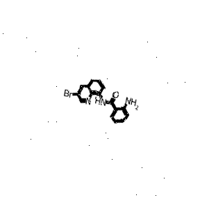 Nc1ccccc1C(=O)Nc1cccc2cc(Br)cnc12